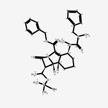 CC(O[Si](C)(C)C(C)(C)C)[C@H]1C(=O)N2C(C(=O)OCc3ccccc3)=C3[C@H](CCC[C@@H]3N(C)C(=O)N(C)Cc3ccccc3)[C@H]12